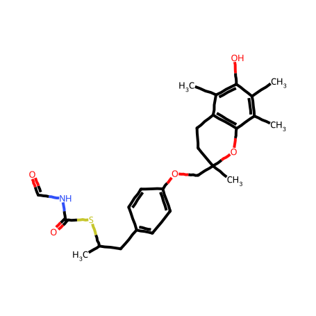 Cc1c(C)c2c(c(C)c1O)CCC(C)(COc1ccc(CC(C)SC(=O)NC=O)cc1)O2